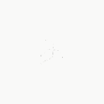 CC(C)O[Si](N=[N+]=[N-])(OC(C)C)OC(C)C